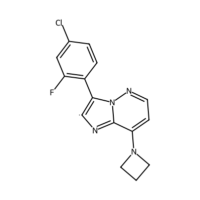 Fc1cc(Cl)ccc1-c1[c]nc2c(N3CCC3)ccnn12